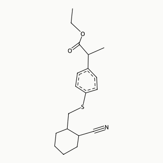 CCOC(=O)C(C)c1ccc(SCC2CCCCC2C#N)cc1